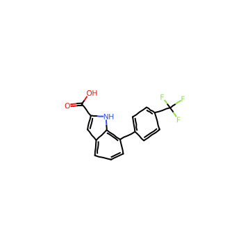 O=C(O)c1cc2cccc(-c3ccc(C(F)(F)F)cc3)c2[nH]1